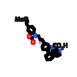 COC=Cc1ccc2c(c1)oc(=O)n2C/C=C/c1ccc(-c2ccccc2)c(N(C(=O)O)[C@H]2CN3CCC2CC3)c1